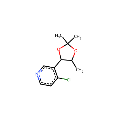 [CH2]C1OC(C)(C)OC1c1cnccc1Cl